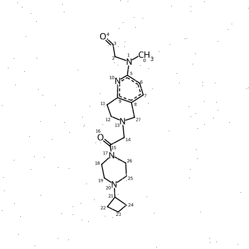 CN(CC=O)c1ccc2c(n1)CCN(CC(=O)N1CCN(C3CCC3)CC1)C2